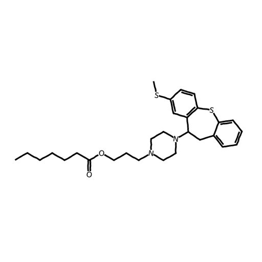 CCCCCCC(=O)OCCCN1CCN(C2Cc3ccccc3Sc3ccc(SC)cc32)CC1